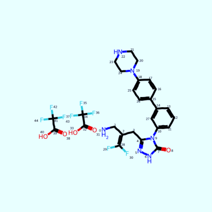 NCC(Cc1n[nH]c(=O)n1-c1cccc(-c2ccc(N3CCNCC3)cc2)c1)=C(F)F.O=C(O)C(F)(F)F.O=C(O)C(F)(F)F